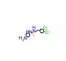 Nc1ccc(NC(=S)NCCc2ccc(Cl)c(Cl)c2)cc1